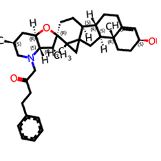 C[C@H]1C[C@H]2O[C@]3(CC[C@H]4[C@@H]5CCC6=C[C@@H](O)CC[C@]6(C)[C@H]5CC45CC53C)[C@H](C)[C@@H]2N(CC(=O)CCc2ccccc2)C1